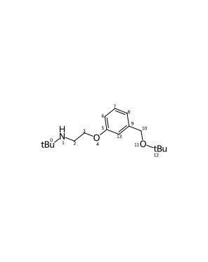 CC(C)(C)NCCOc1cccc(COC(C)(C)C)c1